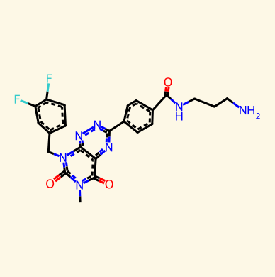 Cn1c(=O)c2nc(-c3ccc(C(=O)NCCCN)cc3)nnc2n(Cc2ccc(F)c(F)c2)c1=O